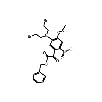 CSOc1cc([N+](=O)[O-])c(C(=O)C(=O)OCc2ccccc2)cc1N(CCBr)CCBr